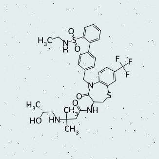 CCNS(=O)(=O)c1ccccc1-c1ccc(CN2C(=O)[C@H](NC(=O)CC(C)(C)NC[C@@H](C)O)CSc3cc(C(F)(F)F)ccc32)cc1